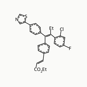 CCOC(=O)/C=C/c1ccc(/C(=C(/CC)c2ccc(F)cc2Cl)c2ccc(-c3cncs3)cc2)cc1